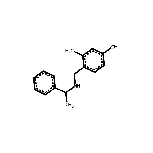 Cc1ccc(CNC(C)c2ccccc2)c(C)c1